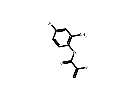 C=C(Br)C(=O)Oc1ccc(N)cc1N